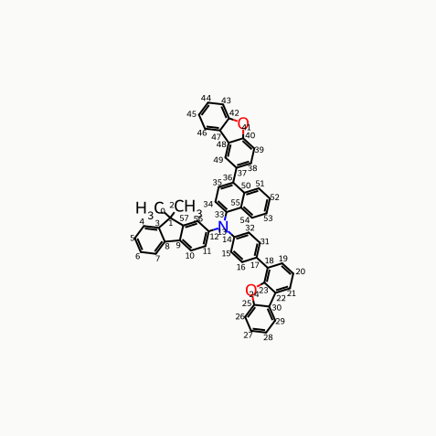 CC1(C)c2ccccc2-c2ccc(N(c3ccc(-c4cccc5c4oc4ccccc45)cc3)c3ccc(-c4ccc5oc6ccccc6c5c4)c4ccccc34)cc21